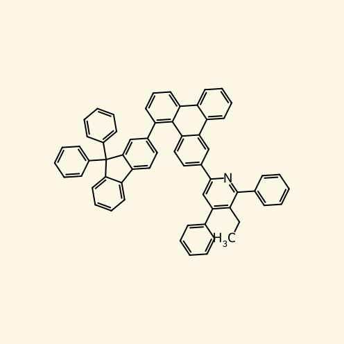 CCc1c(-c2ccccc2)cc(-c2ccc3c(c2)c2ccccc2c2cccc(-c4ccc5c(c4)C(c4ccccc4)(c4ccccc4)c4ccccc4-5)c23)nc1-c1ccccc1